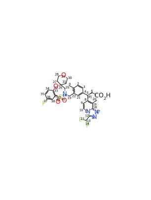 Cc1ccc([C@@H](CC(=O)O)c2ccn3c(C(F)F)nnc3c2C)cc1CN1CC2(CCOCC2)Oc2ccc(F)cc2S1(=O)=O